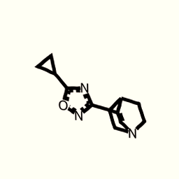 C1=C(c2noc(C3CC3)n2)C2CCN1CC2